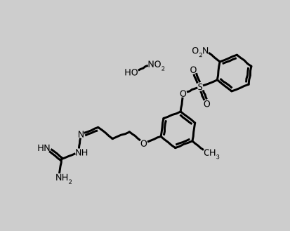 Cc1cc(OCC/C=N\NC(=N)N)cc(OS(=O)(=O)c2ccccc2[N+](=O)[O-])c1.O=[N+]([O-])O